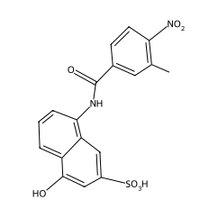 Cc1cc(C(=O)Nc2cccc3c(O)cc(S(=O)(=O)O)cc23)ccc1[N+](=O)[O-]